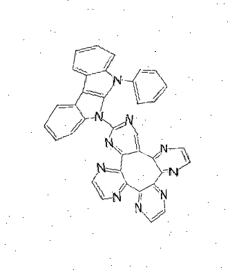 c1ccc(-n2c3ccccc3c3c4ccccc4n(-c4ncc5c(n4)-c4nccnc4-c4nccnc4-c4nccnc4-5)c32)cc1